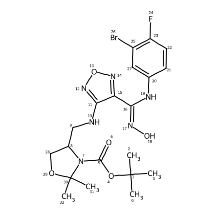 CC(C)(C)OC(=O)N1C(CNc2nonc2/C(=N/O)Nc2ccc(F)c(Br)c2)COC1(C)C